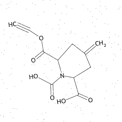 C#COC(=O)C1CC(=C)CC(C(=O)O)N1C(=O)O